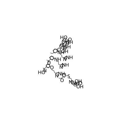 CC(=NO)c1cccc(OCCCc2c[nH]cn2)c1.CC(=O)c1cccc(NCCCc2c[nH]cn2)c1.CC(=O)c1cccc(SCCc2c[nH]cn2)c1.CCc1cccc(NCCCc2c[nH]cn2)c1.O=C(O)C(=O)O.O=C(O)C(=O)O.O=C(O)C(=O)O.O=C(O)C(=O)O